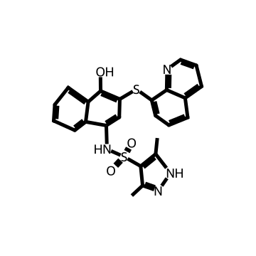 Cc1n[nH]c(C)c1S(=O)(=O)Nc1cc(Sc2cccc3cccnc23)c(O)c2ccccc12